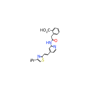 CC(C)c1csc(C=Cc2ccnc(NC(=O)Cc3ccccc3C(=O)O)c2)n1